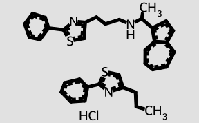 CC(NCCCc1csc(-c2ccccc2)n1)c1ccc2cccccc1-2.CCCc1csc(-c2ccccc2)n1.Cl